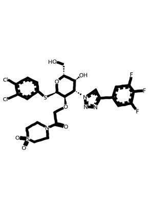 O=C(CO[C@@H]1[C@@H](n2cc(-c3cc(F)c(F)c(F)c3)nn2)[C@@H](O)[C@@H](CO)O[C@@H]1Sc1ccc(Cl)c(Cl)c1)N1CCS(=O)(=O)CC1